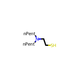 CCCCCN(CCS)CCCCC